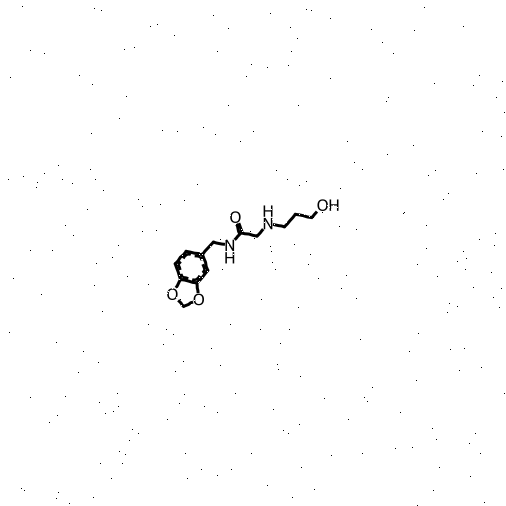 O=C(CNCCCO)NCc1ccc2c(c1)OCO2